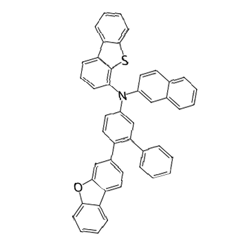 c1ccc(-c2cc(N(c3ccc4ccccc4c3)c3cccc4c3sc3ccccc34)ccc2-c2ccc3c(c2)oc2ccccc23)cc1